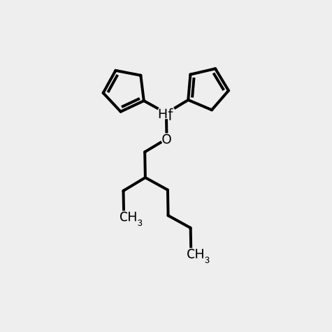 CCCCC(CC)C[O][Hf]([C]1=CC=CC1)[C]1=CC=CC1